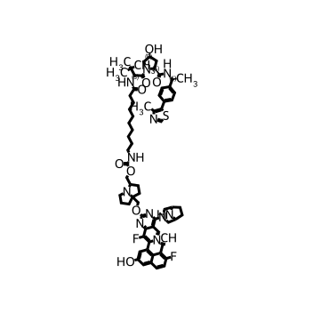 C#Cc1c(F)ccc2cc(O)cc(-c3ncc4c(N5CC6CCC(C5)N6)nc(OCC56CCCN5C(COC(=O)NCCCCCCCCCC(=O)N[C@H](C(=O)N5C[C@H](O)C[C@H]5C(=O)N[C@@H](C)c5ccc(-c7scnc7C)cc5)C(C)(C)C)CC6)nc4c3F)c12